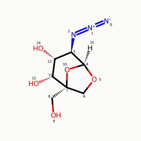 [N-]=[N+]=N[C@H]1[C@H]2OC[C@](CO)(O2)[C@H](O)[C@@H]1O